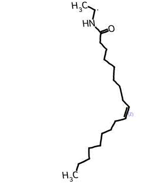 C[CH]NC(=O)CCCCCCC/C=C\CCCCCCCC